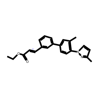 CCOC(=O)/C=C/c1cccc(-c2ccc(-n3ccc(C)n3)c(C)c2)c1